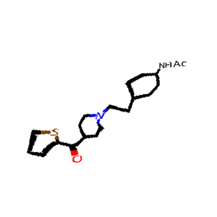 CC(=O)NC1CCC(CCN2CCC(C(=O)c3cccs3)CC2)CC1